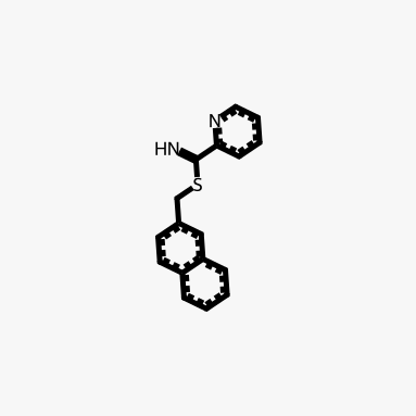 N=C(SCc1ccc2ccccc2c1)c1ccccn1